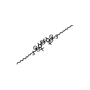 CCCCCCCCCCCCSCCC(=O)Oc1cc(C)c(SOSc2cc(C(C)(C)C)c(OC(=O)CCSCCCCCCCCCCCC)cc2C)cc1C(C)(C)C